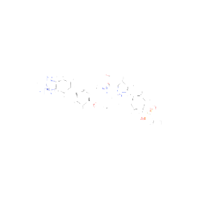 Cc1nc2ccc(-c3ccc4c(c3)CN(C(=O)c3ccc(-c5ccc(S(=O)(=O)C(C)C)cc5)n3C)CCO4)cc2[nH]1